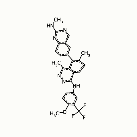 CNc1ncc2cc(-c3c(C)ccc4c(Nc5ccc(OC)c(C(F)(F)F)c5)nnc(C)c34)ccc2n1